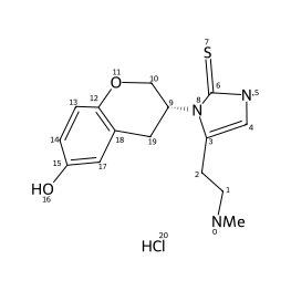 CNCCC1=C[N]C(=S)N1[C@H]1COc2ccc(O)cc2C1.Cl